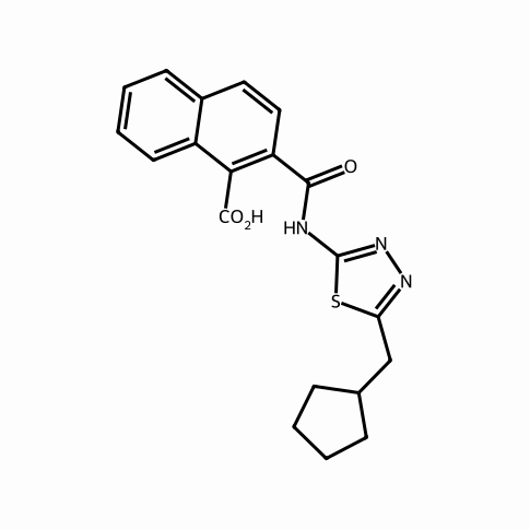 O=C(Nc1nnc(CC2CCCC2)s1)c1ccc2ccccc2c1C(=O)O